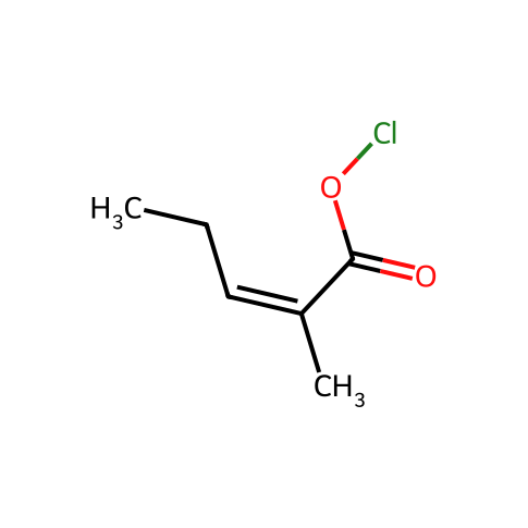 CCC=C(C)C(=O)OCl